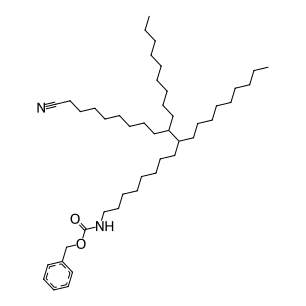 CCCCCCCCCC(CCCCCCCCC#N)C(CCCCCCCCC)CCCCCCCCNC(=O)OCc1ccccc1